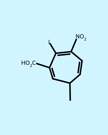 CC1C=CC([N+](=O)[O-])=C(I)C(C(=O)O)=C1